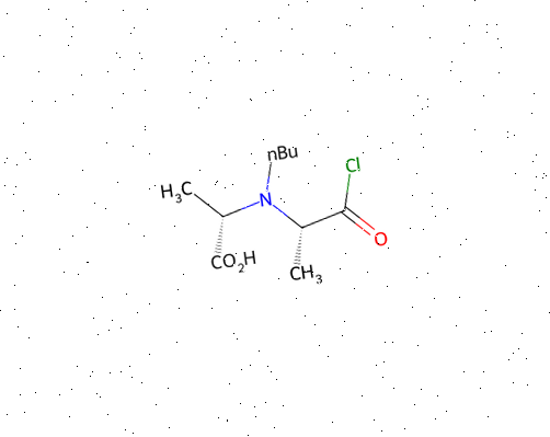 CCCCN([C@@H](C)C(=O)O)[C@@H](C)C(=O)Cl